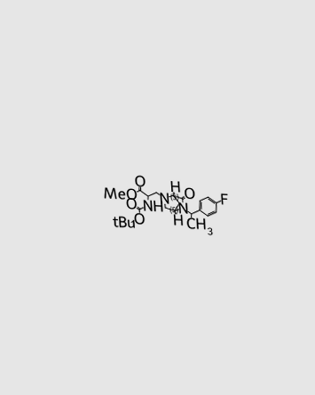 COC(=O)C(CN1C[C@@H]2C[C@H]1C(=O)N2C(C)c1ccc(F)cc1)NC(=O)OC(C)(C)C